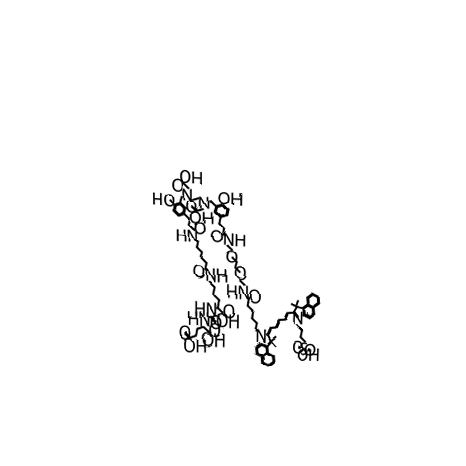 CC1(C)C(/C=C/C=C/C=C2/N(CCCCCC(=O)NCCOCCOCCNC(=O)CCc3ccc(O)c(CN(CCN(CC(=O)O)Cc4cc(CCC(=O)NCCCCCC(=O)NCCCCC(NC(=O)NC(CCC(=O)O)C(=O)O)C(=O)O)ccc4O)CC(=O)O)c3)c3ccc4ccccc4c3C2(C)C)=[N+](CCCCS(=O)(=O)O)c2ccc3ccccc3c21